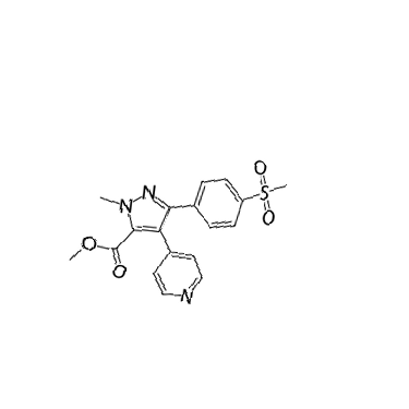 COC(=O)c1c(-c2ccncc2)c(-c2ccc(S(C)(=O)=O)cc2)nn1C